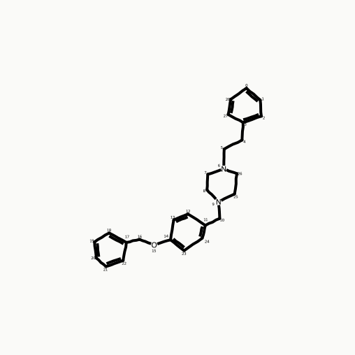 c1ccc(CCN2CCN(Cc3ccc(OCc4ccccc4)cc3)CC2)cc1